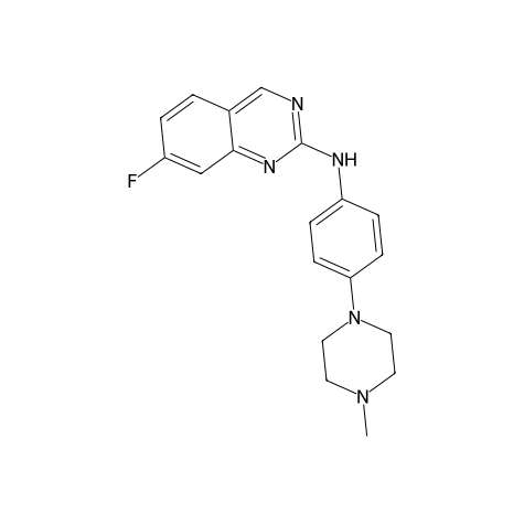 CN1CCN(c2ccc(Nc3ncc4ccc(F)cc4n3)cc2)CC1